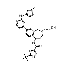 Cc1nn(C)cc1Nc1nccc(-c2ccc3c(c2)CN(CCO)CC[C@H]3NC(=O)c2noc(C(C)(C)C)n2)n1